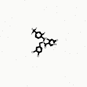 O=C(c1c[nH]c(=O)cc1O)N(Cc1ccc(Cl)c(Cl)c1)Cc1ccc(C(F)(F)F)cc1F